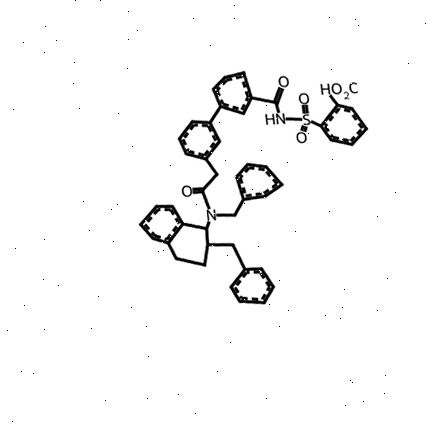 O=C(NS(=O)(=O)c1ccccc1C(=O)O)c1cccc(-c2cccc(CC(=O)N(Cc3ccccc3)C3c4ccccc4CCC3Cc3ccccc3)c2)c1